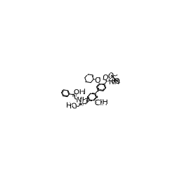 CS(=O)(=O)NC(=O)c1ccc(-c2ccc(C[C@@H](CO)NC[C@@H](O)c3ccccc3)cc2)cc1OC1CCCCC1.Cl